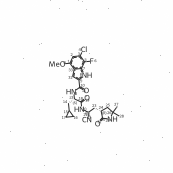 COc1cc(Cl)c(F)c2[nH]c(C(=O)N[C@@H](CC3CC3)C(=O)N[C@H](C#N)C[C@@H]3CC(C)(C)NC3=O)cc12